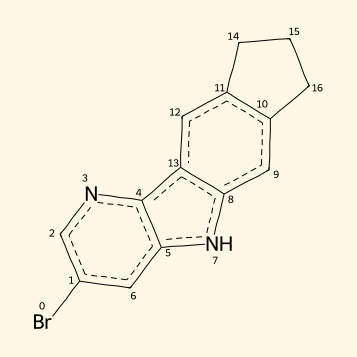 Brc1cnc2c(c1)[nH]c1cc3c(cc12)CCC3